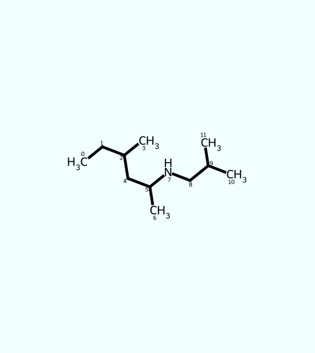 CCC(C)CC(C)NCC(C)C